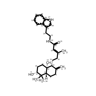 C=C1CC[C@@H]2C(C)(C)[C@H](O)CC[C@@]2(C)[C@@H]1CCC(C)=CC(=O)NCCc1c[nH]c2ccccc12